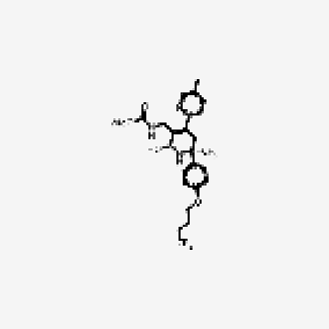 COC(=O)NCC1=C(c2ccc(C)cn2)C[C@](c2ccc(OCCCC(F)(F)F)cc2)(C(F)(F)F)NC1O